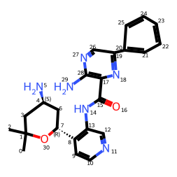 CC1(C)C[C@@H](N)C[C@H](c2ccncc2NC(=O)c2nc(-c3ccccc3)cnc2N)O1